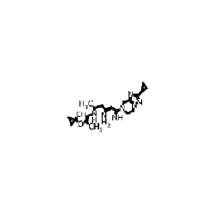 C/C(=C\NC(C)C/C(N)=C/C(=N)N1CCn2nc(C3CC3)nc2C1)OC1(C)CC1